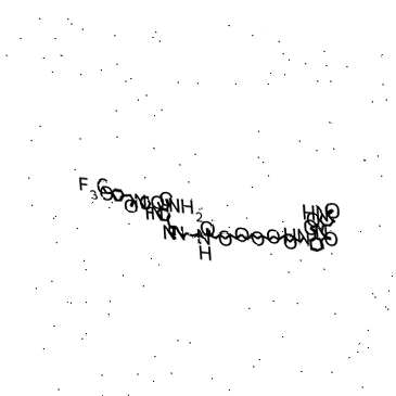 NC(=O)c1cc(-c2cn(CCCCNC(=O)CCOCCOCCOCCOCCOCCNc3cccc4c3C(=O)N(C3CCC(=O)NC3=O)C4=O)cn2)cnc1O[C@@H]1CCN(C(=O)Cc2ccc(OC(F)(F)F)cc2)C[C@H]1F